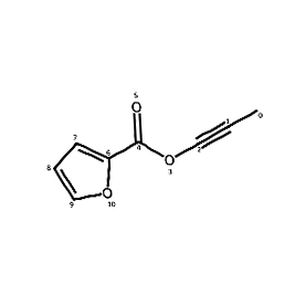 CC#COC(=O)c1ccco1